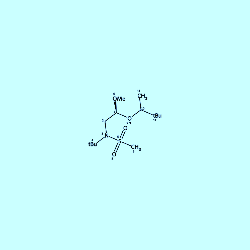 CO[C@H](CN(C(C)(C)C)S(C)(=O)=O)OC(C)C(C)(C)C